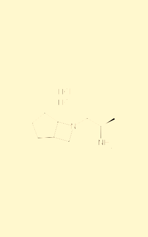 C[C@@H](N)CN1CC2CCCC21.Cl.Cl